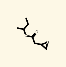 CCC(C)OC(=O)CC1CO1